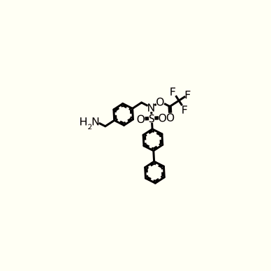 NCc1ccc(CN(OC(=O)C(F)(F)F)S(=O)(=O)c2ccc(-c3ccccc3)cc2)cc1